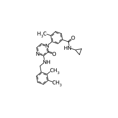 Cc1ccc(C(=O)NC2CC2)cc1-n1ccnc(NCc2cccc(C)c2C)c1=O